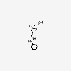 O=S(=O)(CCO)CCCNNc1ccccc1